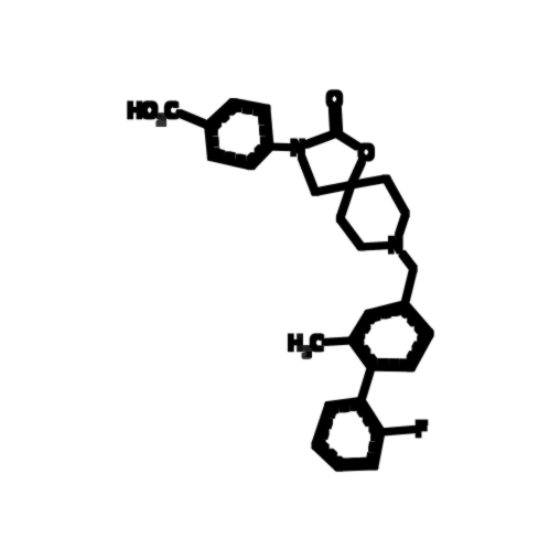 Cc1cc(CN2CCC3(CC2)CN(c2ccc(C(=O)O)cc2)C(=O)O3)ccc1-c1ccccc1F